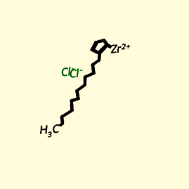 CCCCCCCCCCCCC1=[C]([Zr+2])CC=C1.[Cl-].[Cl-]